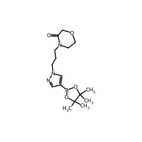 CC1(C)OB(c2cnn(CCCN3CCOCC3=O)c2)OC1(C)C